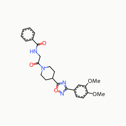 COc1ccc(-c2noc(C3CCN(C(=O)CNC(=O)c4ccccc4)CC3)n2)cc1OC